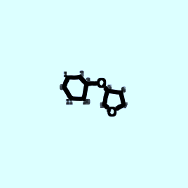 C1CCC(OC2CCOC2)CC1